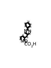 O=C(O)Oc1ncccc1Cc1cnc(-c2ccccc2)nc1